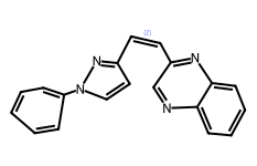 C(=C/c1ccn(-c2ccccc2)n1)/c1cnc2ccccc2n1